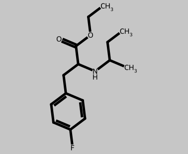 CCOC(=O)C(Cc1ccc(F)cc1)NC(C)CC